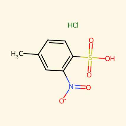 Cc1ccc(S(=O)(=O)O)c([N+](=O)[O-])c1.Cl